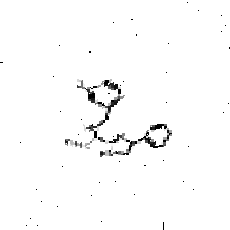 CCCCCC[C@H](NCc1cccc(Cl)c1)c1nc(-c2ccccc2)c[nH]1